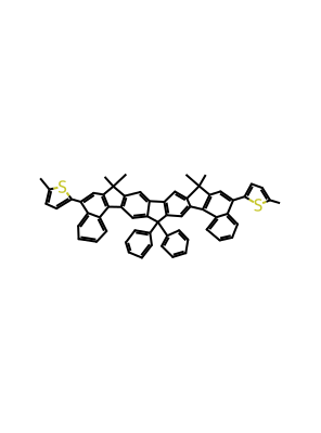 Cc1ccc(-c2cc3c(c4ccccc24)-c2cc4c(cc2C3(C)C)-c2cc3c(cc2C4(c2ccccc2)c2ccccc2)-c2c(cc(-c4ccc(C)s4)c4ccccc24)C3(C)C)s1